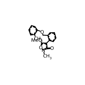 COc1on(C)c(=O)c1-c1ccccc1COc1ccccc1C